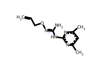 C=CCO/N=C(\N)Nc1nc(C)cc(C)n1